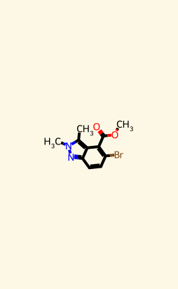 COC(=O)c1c(Br)ccc2nn(C)c(C)c12